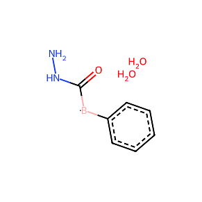 NNC(=O)[B]c1ccccc1.O.O